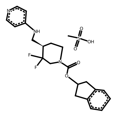 CS(=O)(=O)O.O=C(OC1Cc2ccccc2C1)N1CC[C@H](CNc2ccncc2)C(F)(F)C1